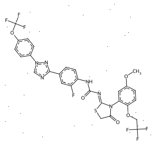 COc1ccc(OCC(F)(F)F)c(N2C(=O)CSC2=NC(=O)Nc2ccc(-c3ncn(-c4ccc(OC(F)(F)F)cc4)n3)cc2F)c1